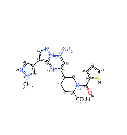 Cn1cc(-c2cnn3c(N)cc(C4CCC(C(=O)O)N(C(=O)c5cccs5)C4)nc23)cn1